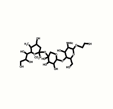 CC(=O)NC1C(OCCS)OC(CO)C(OC2OCC(O)(OC3(C(=O)O)CC(O)C(C)C(C(O)C(O)CO)O3)C(O)C2O)C1O